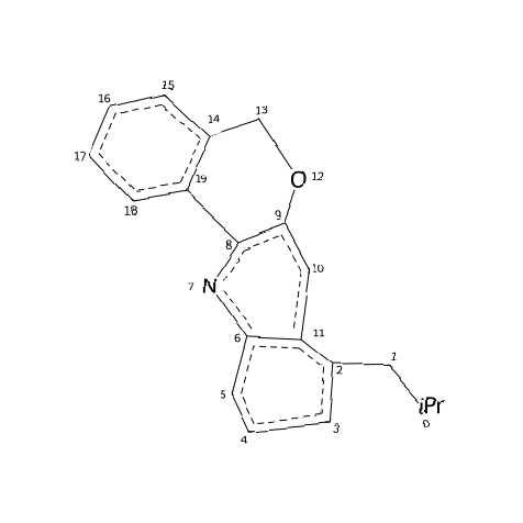 CC(C)Cc1cccc2nc3c(cc12)OCc1ccccc1-3